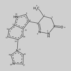 CC1CC(=O)NN=C1c1c[nH]c2ccc(-n3ccnc3)cc12